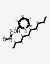 CCCCCCCCCC.Oc1ccccn1.[O]=[W]=[O]